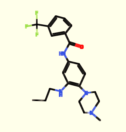 CCCNc1cc(NC(=O)c2cccc(C(F)(F)F)c2)ccc1N1CCN(C)CC1